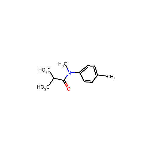 Cc1ccc(N(C)C(=O)C(C(=O)O)C(=O)O)cc1